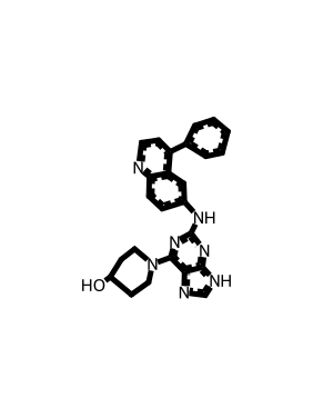 OC1CCN(c2nc(Nc3ccc4nccc(-c5ccccc5)c4c3)nc3[nH]cnc23)CC1